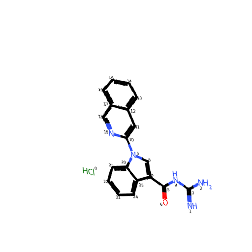 Cl.N=C(N)NC(=O)c1cn(-c2cc3ccccc3cn2)c2ccccc12